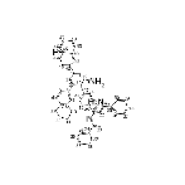 C=C(/C=C(/c1ccc2c(c1)CCCC2)C(CN)c1ccc(C(/C=C(\N)c2ccccc2)NC(=C)C2=CC=CCC2)cc1)C1=CC[C@@H]2C=CC=CC2=C1